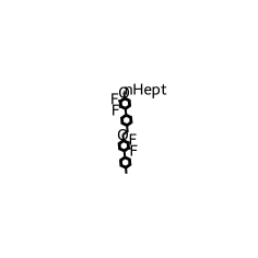 CCCCCCCOc1ccc(-c2ccc(COc3ccc(-c4ccc(C)cc4)c(F)c3F)cc2)c(F)c1F